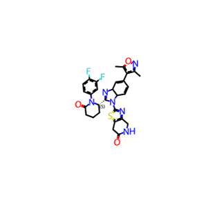 Cc1noc(C)c1C1=CC2N=C([C@@H]3CCCC(=O)N3c3ccc(F)c(F)c3)N(c3nc4c(s3)CC(=O)NC4)C2C=C1